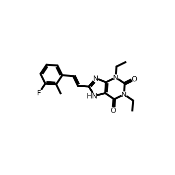 CCn1c(=O)c2[nH]c(C=Cc3cccc(F)c3C)nc2n(CC)c1=O